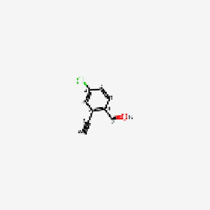 C#Cc1cc(Cl)ccc1C=O